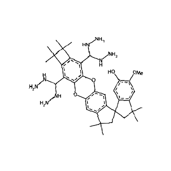 COc1cc2c(cc1O)C1(CC2(C)C)CC(C)(C)c2cc3c(cc21)Oc1c(c(C(NN)NN)c2c(c1C(NN)NN)C(C)(C)C2(C)C)O3